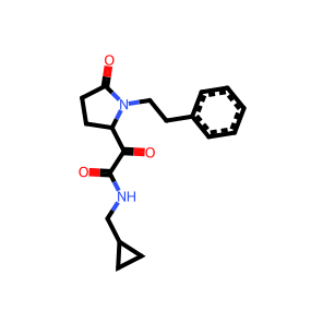 O=C(NCC1CC1)C(=O)C1CCC(=O)N1CCc1ccccc1